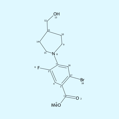 COC(=O)c1cc(F)c(N2CCC(CO)CC2)cc1Br